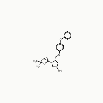 CC(C)(C)OC(=O)N1C[C@H](O)C[C@H]1COc1ccc(Oc2ccccc2)cc1